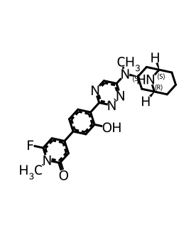 CN(c1cnc(-c2ccc(-c3cc(F)n(C)c(=O)c3)cc2O)nn1)[C@@H]1C[C@H]2CCC[C@@H](C1)N2